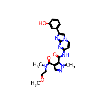 COCCN(C)C(=O)c1cnn(C)c1C(=O)Nc1ccn2cc(-c3cccc(O)c3)nc2n1